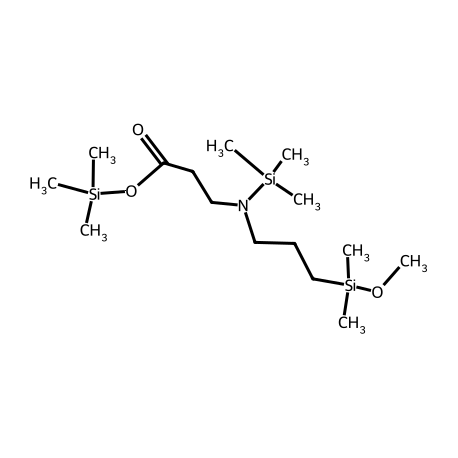 CO[Si](C)(C)CCCN(CCC(=O)O[Si](C)(C)C)[Si](C)(C)C